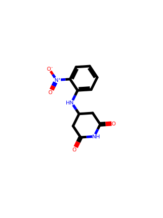 O=C1CC(Nc2ccccc2[N+](=O)[O-])CC(=O)N1